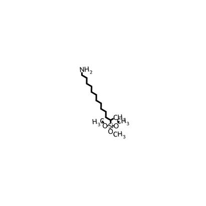 CO[Si](OC)(OC)C(C)CCCCCCCCCCCN